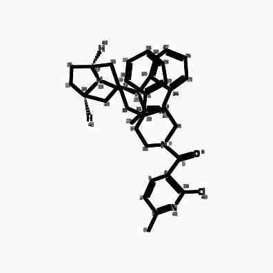 Cc1ccc(C(=O)N2CCC(CCN3[C@@H]4CC[C@H]3C[C@@H](n3c(C)nc5ccccc53)C4)(c3ccccc3)CC2)c(Cl)n1